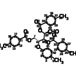 Cc1ccc(O[C@H](COC(=O)c2ccc(C)cc2)[C@H](OC(=O)c2ccc(C)cc2)[C@H](C=O)OC(=O)c2ccc(C)cc2)cc1